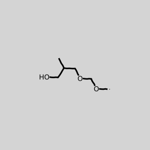 [CH2]OCOCC(C)CO